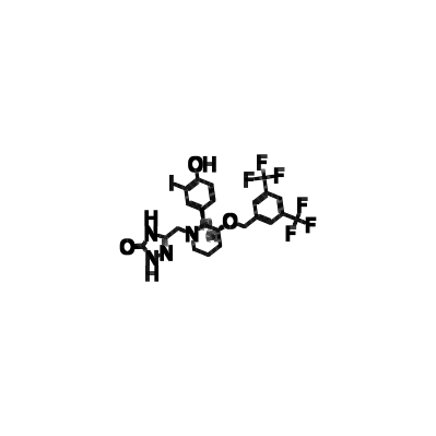 O=c1[nH]nc(CN2CCC[C@H](OCc3cc(C(F)(F)F)cc(C(F)(F)F)c3)[C@@H]2c2ccc(O)c(I)c2)[nH]1